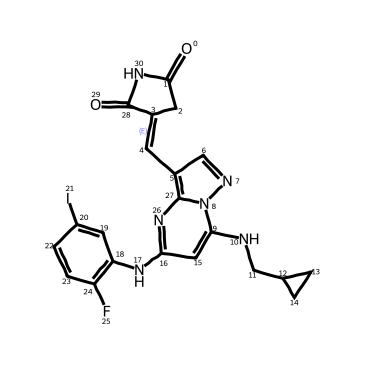 O=C1C/C(=C\c2cnn3c(NCC4CC4)cc(Nc4cc(I)ccc4F)nc23)C(=O)N1